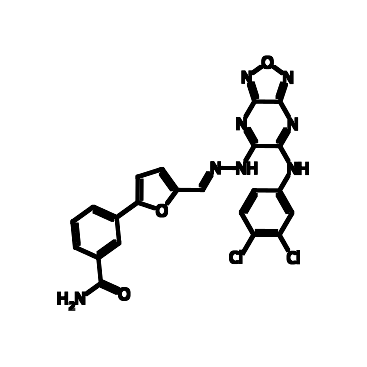 NC(=O)c1cccc(-c2ccc(/C=N/Nc3nc4nonc4nc3Nc3ccc(Cl)c(Cl)c3)o2)c1